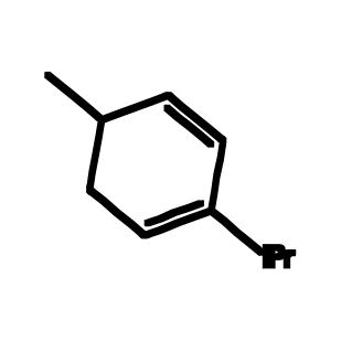 CC1C=CC(C(C)C)=CC1